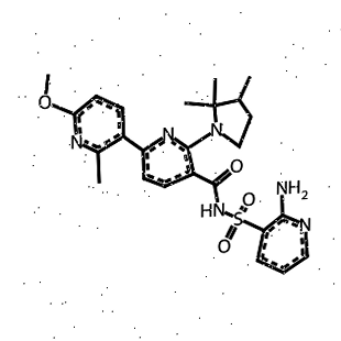 COc1ccc(-c2ccc(C(=O)NS(=O)(=O)c3cccnc3N)c(N3CCC(C)C3(C)C)n2)c(C)n1